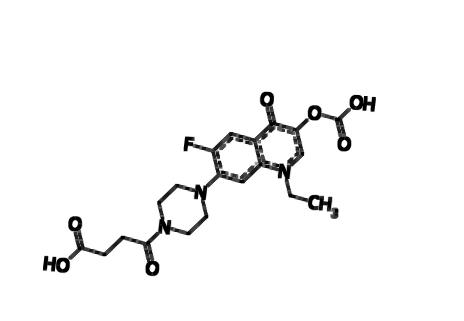 CCn1cc(OC(=O)O)c(=O)c2cc(F)c(N3CCN(C(=O)CCC(=O)O)CC3)cc21